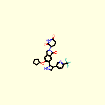 O=C1CCC(N2Cc3cc(OC4CCCC4)c(C4NCC4c4ccc(C(F)(F)F)nc4)cc3C2=O)C(=O)N1